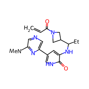 C=CC(=O)N1CC(C(CC)Nc2cc(-c3cncc(NC)n3)c[nH]c2=O)C1